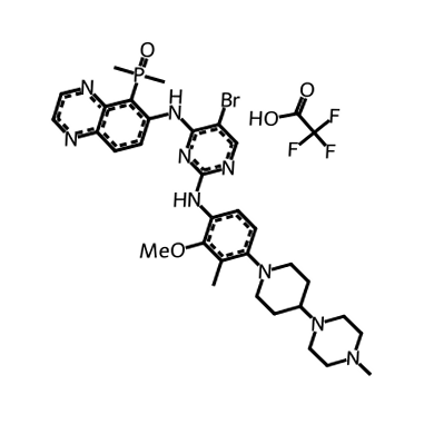 COc1c(Nc2ncc(Br)c(Nc3ccc4nccnc4c3P(C)(C)=O)n2)ccc(N2CCC(N3CCN(C)CC3)CC2)c1C.O=C(O)C(F)(F)F